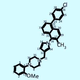 COc1ccccc1N1CCN(Cc2ccn(-c3c(C)ccc4c(-c5ccc(Cl)cc5)cccc34)c2)CC1